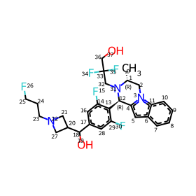 C[C@@H]1Cn2c(cc3ccccc32)[C@@H](c2c(F)cc(C(O)C3CN(CCCF)C3)cc2F)N1CC(F)(F)CO